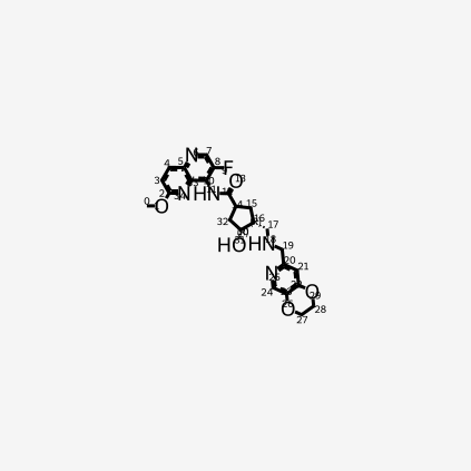 COc1ccc2ncc(F)c(NC(=O)C3C[C@H](CNCc4cc5c(cn4)OCCO5)[C@H](O)C3)c2n1